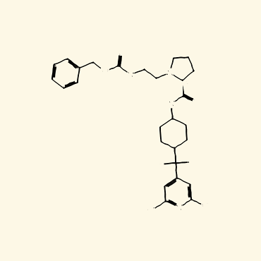 O=C(NCCN1CCC[C@H]1C(=O)NC1CCC(C(F)(F)c2cc(Cl)nc(Cl)c2)CC1)OCc1ccccc1